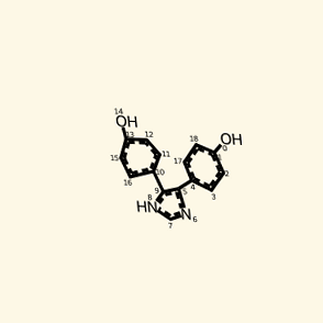 Oc1ccc(-c2nc[nH]c2-c2ccc(O)cc2)cc1